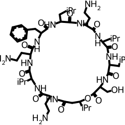 CC(C)CC1NC(=O)C(Cc2ccccc2)NC(=O)C(CCN)NC(=O)C(C(C)C)NC(=O)C(CCN)NC(=O)CC(C(C)C)OC(=O)C(CO)NC(=O)C(CC(C)C)NC(=O)C(C(C)C)NC(=O)C(CCN)NC1=O